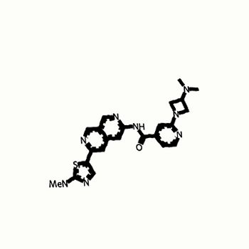 CNc1ncc(-c2cc3cc(NC(=O)c4ccnc(N5CC(N(C)C)C5)c4)ncc3cn2)s1